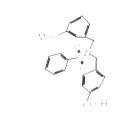 COc1cccc(CN(Cc2ccc(C(=O)O)cc2)S(=O)(=O)c2ccccc2)c1